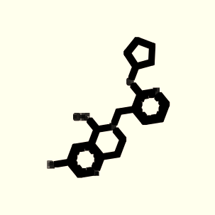 O=CC1c2cc(Br)cnc2CCN1Cc1cccnc1OC1CCCC1